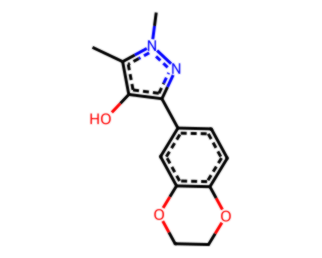 Cc1c(O)c(-c2ccc3c(c2)OCCO3)nn1C